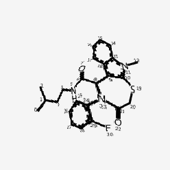 CC(C)CCNC(=O)C1c2c(n(C)c3ccccc23)SCC(=O)N1c1ccccc1F